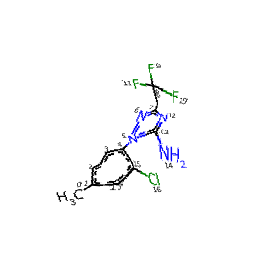 Cc1ccc(-n2nc(C(F)(F)F)nc2N)c(Cl)c1